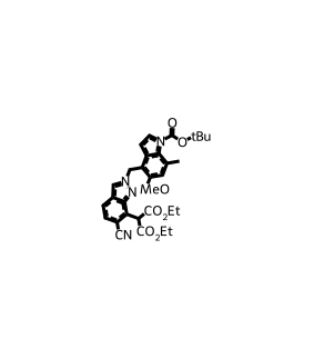 CCOC(=O)C(C(=O)OCC)c1c(C#N)ccc2cn(Cc3c(OC)cc(C)c4c3ccn4C(=O)OC(C)(C)C)nc12